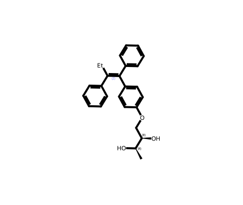 CC/C(=C(\c1ccccc1)c1ccc(OC[C@@H](O)[C@@H](C)O)cc1)c1ccccc1